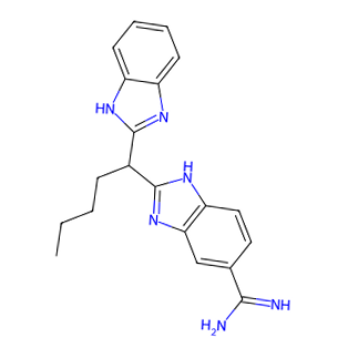 CCCCC(c1nc2ccccc2[nH]1)c1nc2cc(C(=N)N)ccc2[nH]1